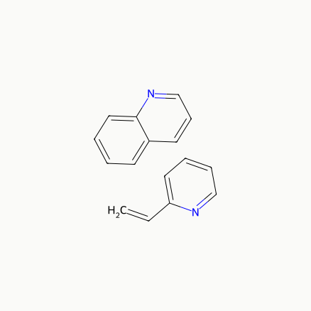 C=Cc1ccccn1.c1ccc2ncccc2c1